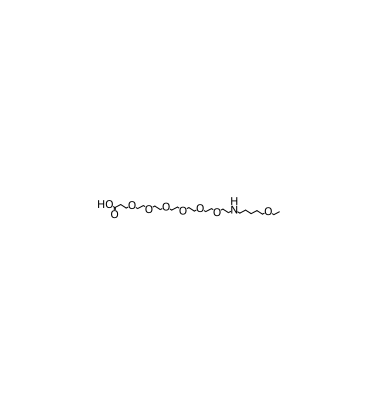 CCOCCCCCNCCOCCOCCOCCOCCOCCOCCC(=O)O